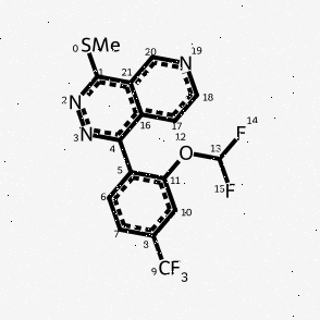 CSc1nnc(-c2ccc(C(F)(F)F)cc2OC(F)F)c2ccncc12